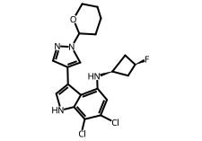 F[C@H]1C[C@@H](Nc2cc(Cl)c(Cl)c3[nH]cc(-c4cnn(C5CCCCO5)c4)c23)C1